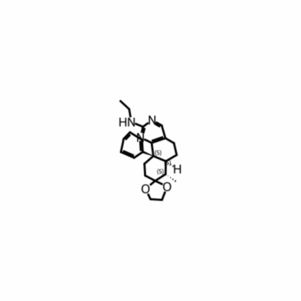 CCNc1ncc2c(n1)[C@@]1(c3ccccc3)CCC3(OCCO3)[C@@H](C)[C@@H]1CC2